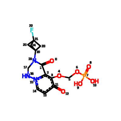 O=C1c2c(OCOP(=O)(O)O)c(=O)ccn2NCN1C12CC(F)(C1)C2